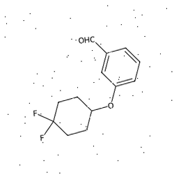 O=Cc1cccc(OC2CCC(F)(F)CC2)c1